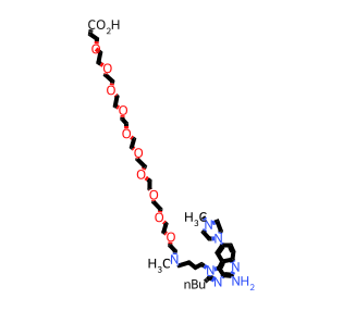 CCCCc1nc2c(N)nc3ccc(N4CCN(C)CC4)cc3c2n1CCCCN(C)CCOCCOCCOCCOCCOCCOCCOCCOCCOCCOCCC(=O)O